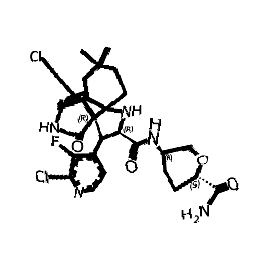 CC1(C)CCC2(CC1)N[C@@H](C(=O)N[C@@H]1CC[C@@H](C(N)=O)OC1)C(c1ccnc(Cl)c1F)[C@]21C(=O)Nc2cc(Cl)ccc21